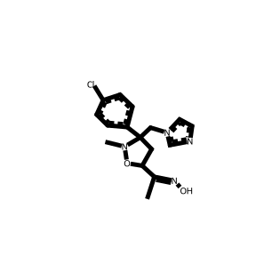 CC(=NO)C1CC(Cn2ccnc2)(c2ccc(Cl)cc2)N(C)O1